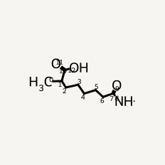 CC(CCCCCC([NH])=O)C(=O)O